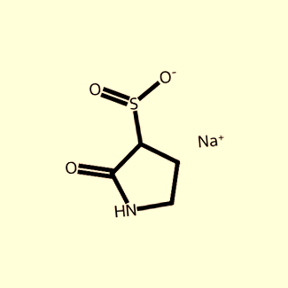 O=C1NCCC1S(=O)[O-].[Na+]